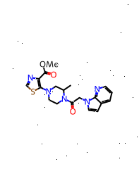 COC(=O)c1ncsc1N1CCN(C(=O)Cn2ccc3cccnc32)C(C)C1